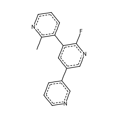 Cc1ncccc1-c1cc(-c2cccnc2)cnc1F